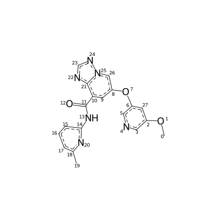 COc1cncc(Oc2cc(C(=O)Nc3cccc(C)n3)c3ncnn3c2)c1